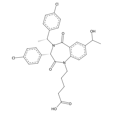 CC(O)c1ccc2c(c1)C(=O)N([C@H](C)c1ccc(Cl)cc1)[C@@H](c1ccc(Cl)cc1)C(=O)N2CCCCC(=O)O